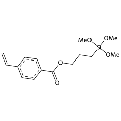 C=Cc1ccc(C(=O)OCCC[Si](OC)(OC)OC)cc1